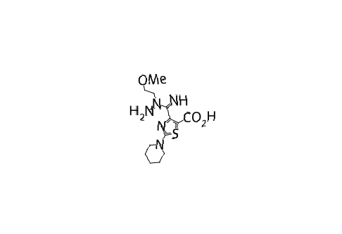 COCCN(N)C(=N)c1nc(N2CCCCC2)sc1C(=O)O